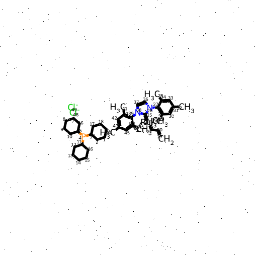 C1CCC(P(C2CCCCC2)C2CCCCC2)CC1.C=C[CH]=[Ru+2]([CH3])([CH3])=[c]1n(-c2c(C)cc(C)cc2C)ccn1-c1c(C)cc(C)cc1C.[Cl-].[Cl-]